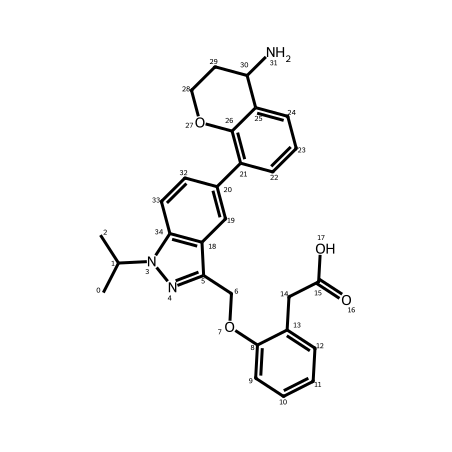 CC(C)n1nc(COc2ccccc2CC(=O)O)c2cc(-c3cccc4c3OCCC4N)ccc21